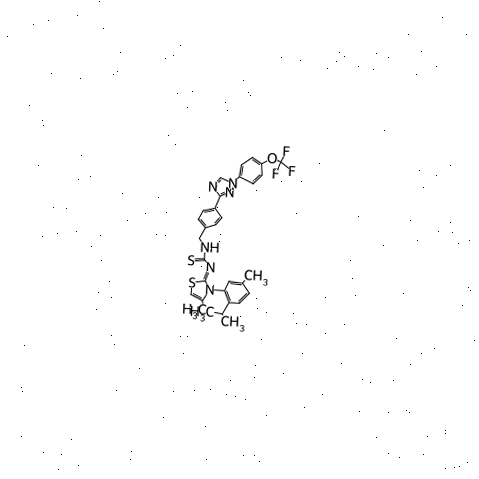 Cc1ccc(C(C)C)c(-n2c(C)cs/c2=N\C(=S)NCc2ccc(-c3ncn(-c4ccc(OC(F)(F)F)cc4)n3)cc2)c1